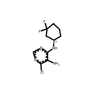 Nc1c(Cl)ncnc1N[C@@H]1CCCC(F)(F)C1